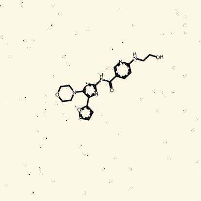 O=C(Nc1nc(-c2ccco2)c(N2CCOCC2)s1)c1ccc(NCCO)nc1